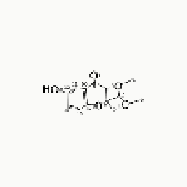 COC(OC)C1(C)CC(=O)c2cc(O)ccc2O1